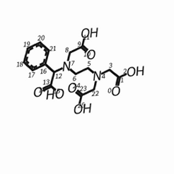 O=C(O)CN(CCN(CC(=O)O)C(C(=O)O)c1ccccc1)CC(=O)O